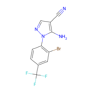 N#Cc1cnn(-c2ccc(C(F)(F)F)cc2Br)c1N